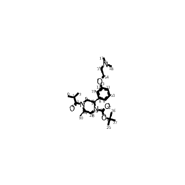 CC(C)C(=O)N1C[C@@H](c2cccc(OCCN(C)C)c2)N(C(=O)OC(C)(C)C)C[C@H]1C